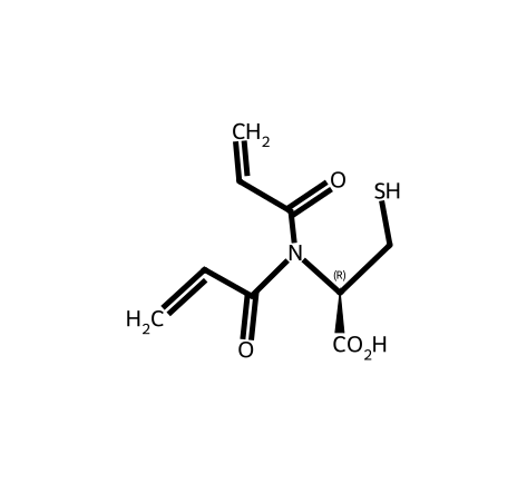 C=CC(=O)N(C(=O)C=C)[C@@H](CS)C(=O)O